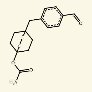 NC(=O)OC12CCC(Cc3ccc(C=O)cc3)(CC1)CC2